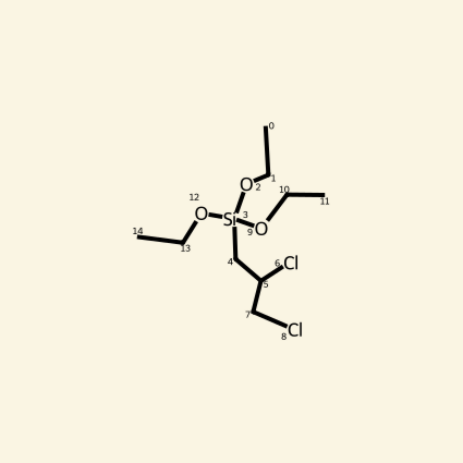 CCO[Si](CC(Cl)CCl)(OCC)OCC